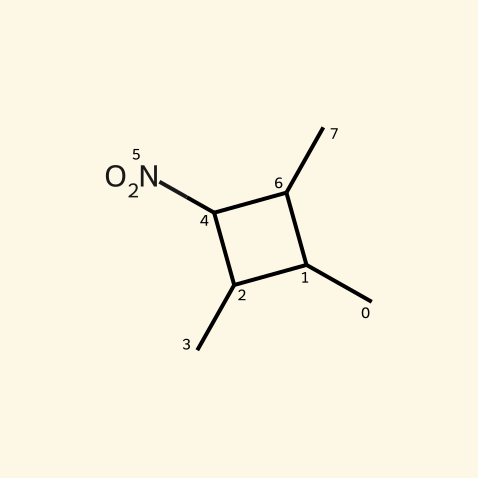 CC1C(C)C([N+](=O)[O-])C1C